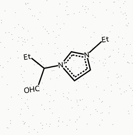 CCC(C=O)[n+]1ccn(CC)c1